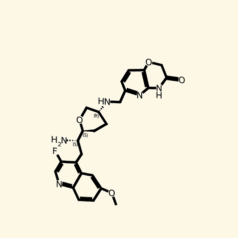 COc1ccc2ncc(F)c(C[C@H](N)[C@@H]3CC[C@@H](NCc4ccc5c(n4)NC(=O)CO5)CO3)c2c1